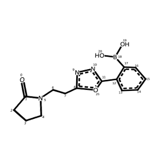 O=C1CCCN1CCc1nnc(-c2ccccc2B(O)O)o1